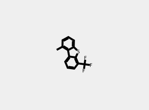 Cc1cccc2sc3c(C(F)(F)F)cccc3c12